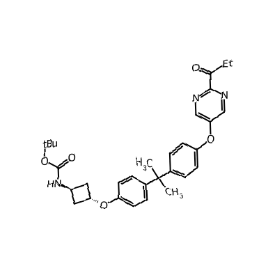 CCC(=O)c1ncc(Oc2ccc(C(C)(C)c3ccc(O[C@H]4C[C@H](NC(=O)OC(C)(C)C)C4)cc3)cc2)cn1